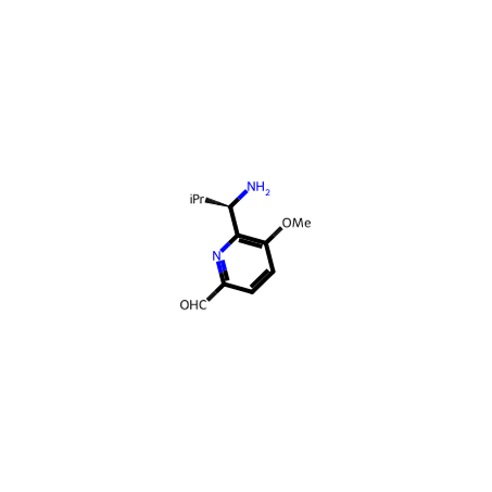 COc1ccc(C=O)nc1[C@H](N)C(C)C